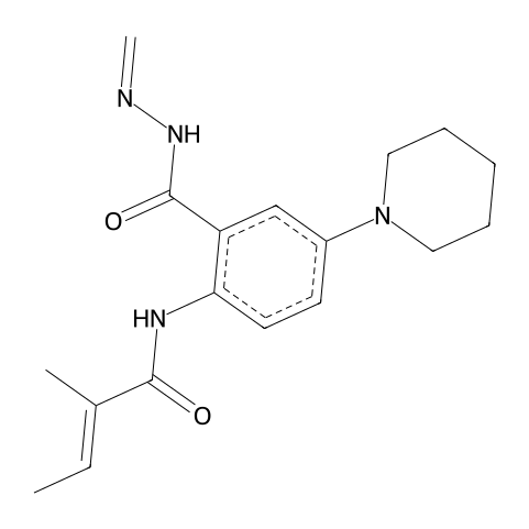 C=NNC(=O)c1cc(N2CCCCC2)ccc1NC(=O)/C(C)=C/C